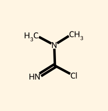 CN(C)C(=N)Cl